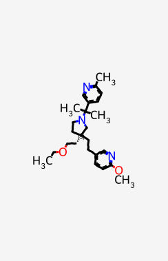 CCOCC[C@]1(CCc2ccc(OC)nc2)CCN(C(C)(C)c2ccc(C)nc2)C1